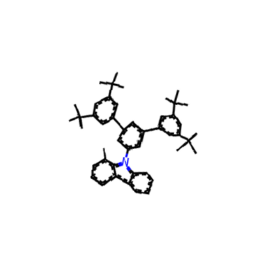 Cc1cccc2c3ccccc3n(-c3cc(-c4cc(C(C)(C)C)cc(C(C)(C)C)c4)cc(-c4cc(C(C)(C)C)cc(C(C)(C)C)c4)c3)c12